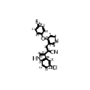 N#C/C(=C\c1cnccc1Oc1ccc(F)cc1)c1c[nH]c2ccc(Cl)cc12